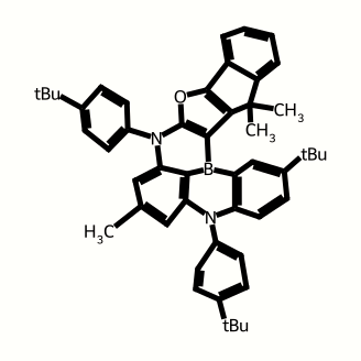 Cc1cc2c3c(c1)N(c1ccc(C(C)(C)C)cc1)c1oc4c(c1B3c1cc(C(C)(C)C)ccc1N2c1ccc(C(C)(C)C)cc1)C(C)(C)c1ccccc1-4